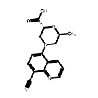 CC1CN(c2ccc(C#N)c3ncccc23)C[C@H](C(=O)O)O1